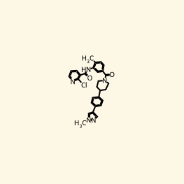 Cc1ccc(C(=O)N2CCC(c3ccc(-c4cnn(C)c4)cc3)CC2)cc1NC(=O)c1cccnc1Cl